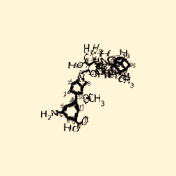 COc1c(-c2cc(N)cc(C(=O)O)c2)ccc2c1CN2C[C@H](O)[C@@H]([C@H](C)O)[C@H](C)C(=O)N[C@H]1C[C@H]2C[C@@H]([C@@H]1C)C2(C)C